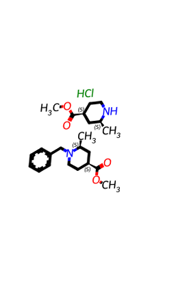 COC(=O)[C@H]1CCN(Cc2ccccc2)[C@@H](C)C1.COC(=O)[C@H]1CCN[C@@H](C)C1.Cl